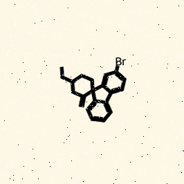 C=C1CC(CC)CCC12c1ccccc1-c1ccc(Br)cc12